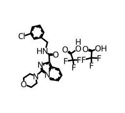 O=C(NCc1cccc(Cl)c1)c1nc(N2CCOCC2)n2ccccc12.O=C(O)C(F)(F)F.O=C(O)C(F)(F)F